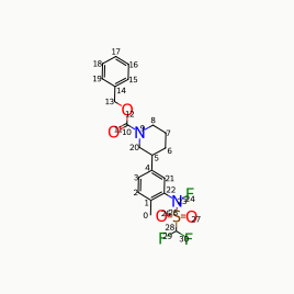 Cc1ccc(C2CCCN(C(=O)OCc3ccccc3)C2)cc1N(F)S(=O)(=O)C(F)F